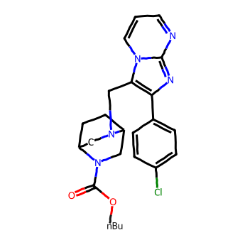 CCCCOC(=O)N1CC2CCC1CN2Cc1c(-c2ccc(Cl)cc2)nc2ncccn12